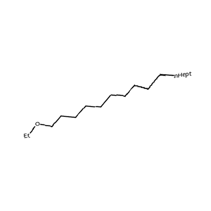 [CH2]COCCCCCCCCCCCCCCCCC